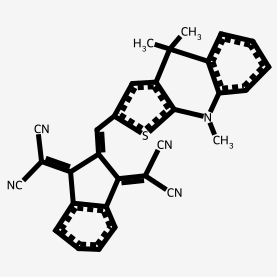 CN1c2ccccc2C(C)(C)c2cc(C=C3C(=C(C#N)C#N)c4ccccc4C3=C(C#N)C#N)sc21